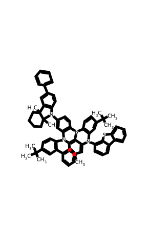 Cc1cc2c3c(c1)N(c1cccc4c1sc1ccccc14)c1cc(C(C)(C)C)ccc1B3c1ccc(N3c4ccc(-c5ccccc5)cc4C4(C)CCCCC34C)cc1N2c1ccc(C(C)(C)C)cc1-c1ccccc1